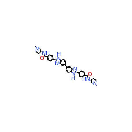 CN1CC[C@@H](NC(=O)c2ccc(-c3nc4cc(-c5ccc6[nH]c(-c7ccc(C(=O)N[C@@H]8CCN(C)C8)cc7)nc6c5)ccc4[nH]3)cc2)C1